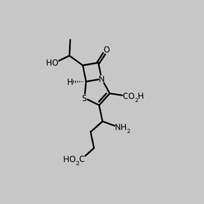 CC(O)C1C(=O)N2C(C(=O)O)=C(C(N)CCC(=O)O)S[C@@H]12